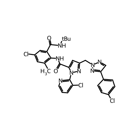 Cc1cc(Cl)cc(C(=O)NC(C)(C)C)c1NC(=O)c1cc(Cn2ncc(-c3ccc(Cl)cc3)n2)nn1-c1ncccc1Cl